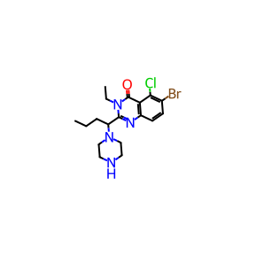 CCCC(c1nc2ccc(Br)c(Cl)c2c(=O)n1CC)N1CCNCC1